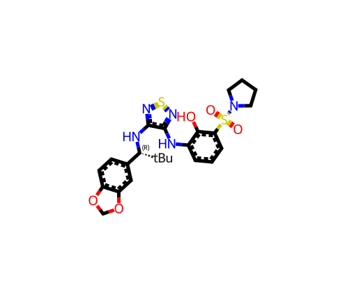 CC(C)(C)[C@@H](Nc1nsnc1Nc1cccc(S(=O)(=O)N2CCCC2)c1O)c1ccc2c(c1)OCO2